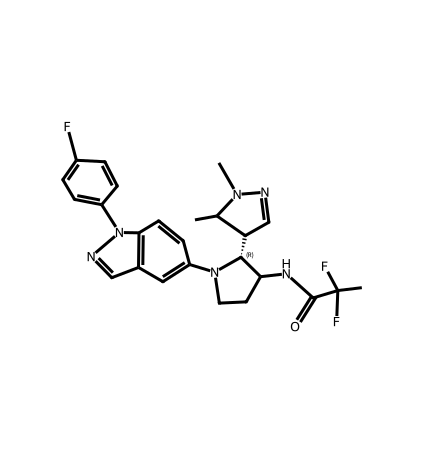 CC1C([C@@H]2C(NC(=O)C(C)(F)F)CCN2c2ccc3c(cnn3-c3ccc(F)cc3)c2)C=NN1C